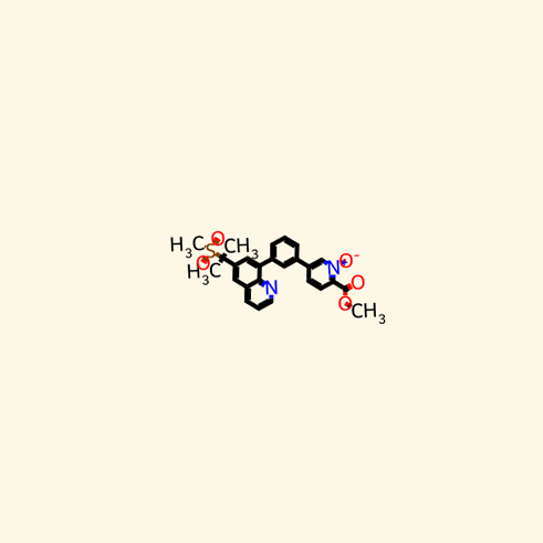 COC(=O)c1ccc(-c2cccc(-c3cc(C(C)(C)S(C)(=O)=O)cc4cccnc34)c2)c[n+]1[O-]